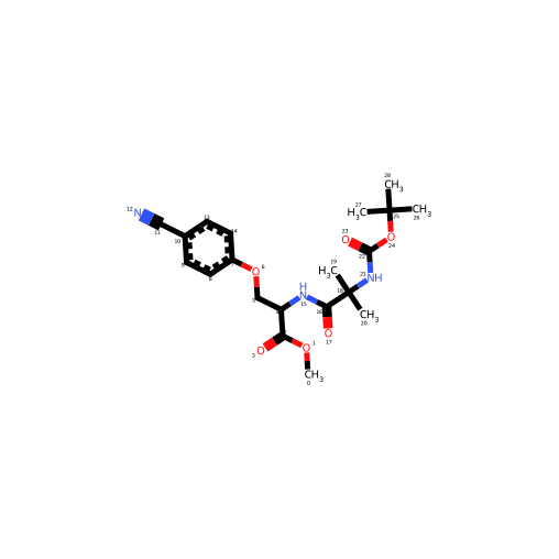 COC(=O)C(COc1ccc(C#N)cc1)NC(=O)C(C)(C)NC(=O)OC(C)(C)C